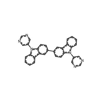 c1ccc2c(c1)c1cc(-c3ccc4c(c3)c3ccccc3n4-c3cncnc3)ccc1n2-c1cncnc1